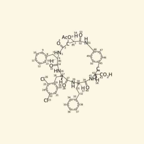 CC(=O)O[C@@H]1CC(=O)N[C@H](Cc2ccccc2)C(=O)N[C@@H](Cc2ccc(Cl)cc2Cl)C(=O)N[C@H](CCc2ccccc2)C(=O)N[C@@H](C(=O)O)Cc2ccc(cc2)NC1=O